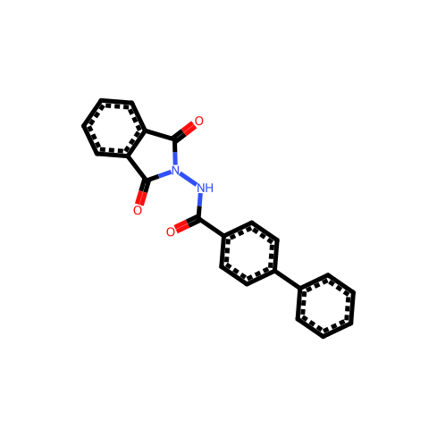 O=C(NN1C(=O)c2ccccc2C1=O)c1ccc(-c2ccccc2)cc1